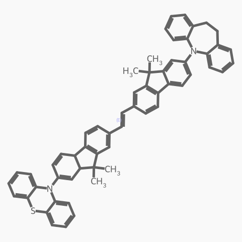 CC1(C)c2cc(/C=C/c3ccc4c(c3)C(C)(C)C3C=C(N5c6ccccc6Sc6ccccc65)C=CC43)ccc2-c2ccc(N3c4ccccc4CCc4ccccc43)cc21